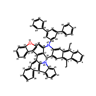 Cc1c2ccccc2c(C)c2cc3c(cc12)B1c2c(cc4oc5ccccc5c4c2-c2cc4ccccc4c4c5ccccc5n1c24)N3c1cc(-c2ccccc2)cc(-c2ccccc2)c1